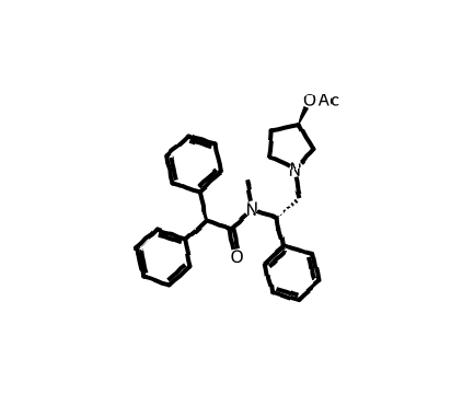 CC(=O)O[C@@H]1CCN(C[C@H](c2ccccc2)N(C)C(=O)C(c2ccccc2)c2ccccc2)C1